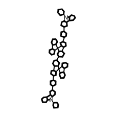 c1ccc(-n2c3ccccc3c3cc(-c4ccc(-c5ccc6c(c5)C5(c7ccccc7-c7ccccc75)c5cc(-c7ccc8c(c7)C7(c9ccccc9-c9ccccc97)c7cc(-c9ccc(-c%10ccc%11c(c%10)c%10ccccc%10n%11-c%10ccccc%10)cc9)ccc7-8)ccc5-6)cc4)ccc32)cc1